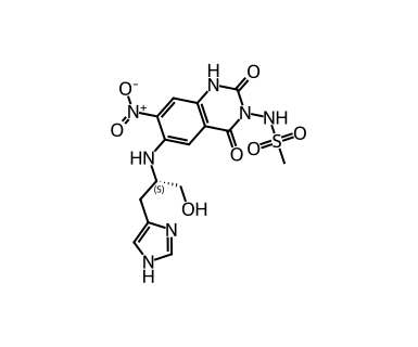 CS(=O)(=O)Nn1c(=O)[nH]c2cc([N+](=O)[O-])c(N[C@H](CO)Cc3c[nH]cn3)cc2c1=O